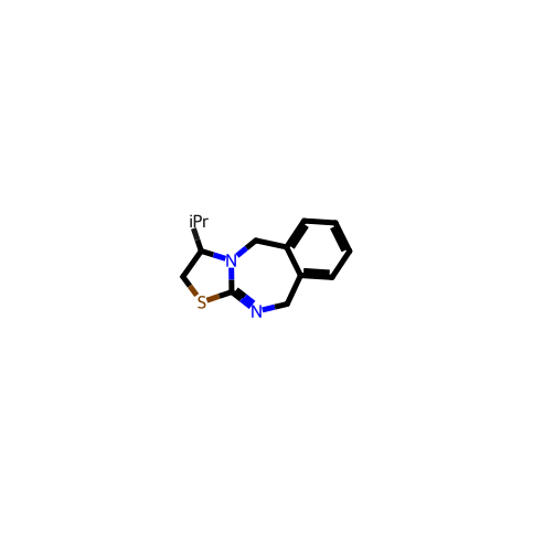 CC(C)C1CSC2=NCc3ccccc3CN21